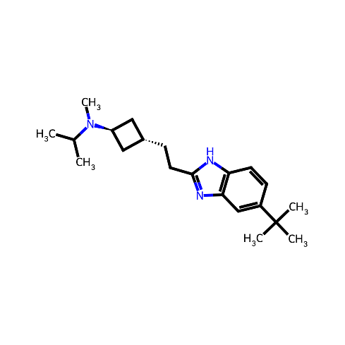 CC(C)N(C)[C@H]1C[C@H](CCc2nc3cc(C(C)(C)C)ccc3[nH]2)C1